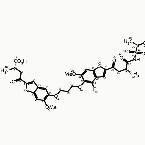 COc1cc2sc(C(=O)C[C@H](C)C(=O)O)cc2cc1OCCCOc1c(OC)cc2sc(C(=O)C[C@H](C)C(=O)NS(=O)(=O)N(C)C)cc2c1F